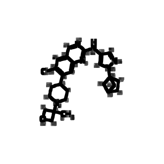 CC1(N2CCC(c3cc4nc(Nc5cnn(C67CCC(C6)C7)c5)ncc4cc3Cl)CC2)COC1